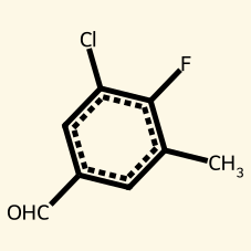 Cc1cc(C=O)cc(Cl)c1F